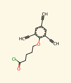 C#Cc1cc(C#C)c(OCCCCC(=O)Cl)c(C#C)c1